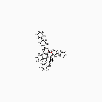 c1ccc(-c2ccc(-c3nc(-c4ccc(-c5ccccc5)cc4)nc(-c4ccccc4-c4c5ccccc5nc5sc6ccccc6c45)n3)cc2)cc1